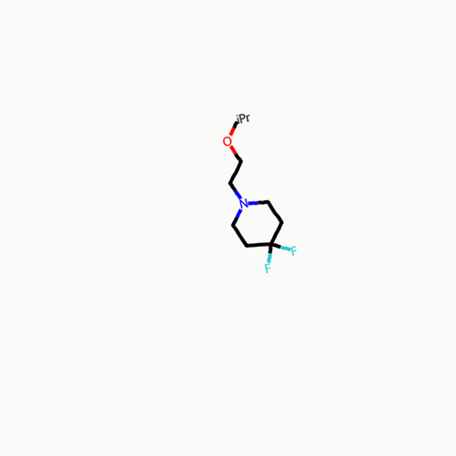 CC(C)OCCN1CCC(F)(F)CC1